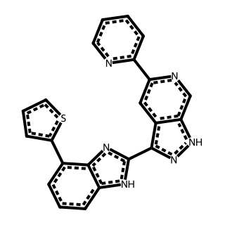 c1ccc(-c2cc3c(-c4nc5c(-c6cccs6)cccc5[nH]4)n[nH]c3cn2)nc1